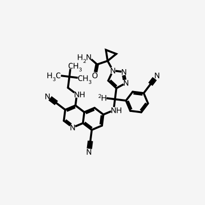 [2H]C(Nc1cc(C#N)c2ncc(C#N)c(NCC(C)(C)C)c2c1)(c1cccc(C#N)c1)c1cn(C2(C(N)=O)CC2)nn1